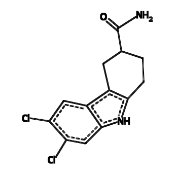 NC(=O)C1CCc2[nH]c3cc(Cl)c(Cl)cc3c2C1